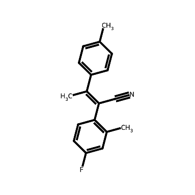 C/C(=C(/C#N)c1ccc(F)cc1C)c1ccc(C)cc1